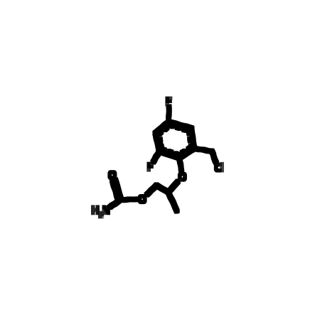 CC(COC(N)=O)Oc1c(F)cc(F)cc1CCl